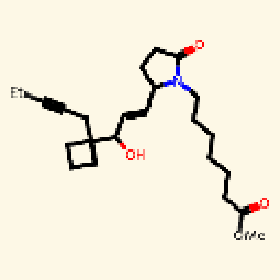 CCC#CCC1(C(O)C=CC2CCC(=O)N2CCCCCCC(=O)OC)CCC1